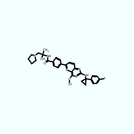 CCOc1nc(NC2(c3ccc(F)cc3)CC2)nc2ccc(-c3ccc(C(=O)NC(C)(C)CN4CCCC4)cc3)nc12